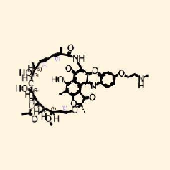 CNCCOc1ccc2nc3c4c5c6c(C)c(O)c4c(=O)c(c-3oc2c1)NC(=O)/C(C)=C\C=C\[C@H](C)[C@H](O)C[C@@H](O)[C@@H](C)[C@H](OC(C)=O)[C@H](C)[C@@H](OC)/C=C/O[C@@](C)(O6)C5=O